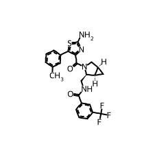 Cc1cccc(-c2sc(N)nc2C(=O)N2C[C@H]3C[C@H]3[C@H]2CNC(=O)c2cccc(C(F)(F)F)c2)c1